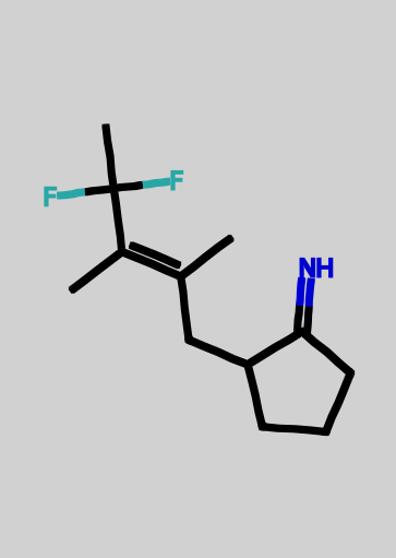 C/C(CC1CCCC1=N)=C(/C)C(C)(F)F